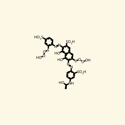 C=C(O)Nc1ccc(/N=N/c2c(SOOO)cc3cc(S(=O)(=O)O)c(/N=N/c4ccc(S(=O)(=O)O)cc4SOOO)c(O)c3c2O)c(S(=O)(=O)O)c1